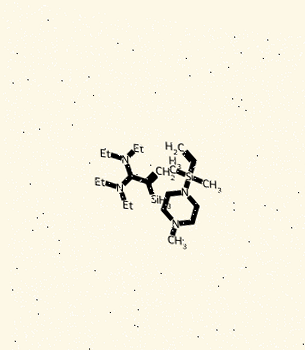 C=C([SiH3])C(N(CC)CC)N(CC)CC.C=C[Si](C)(C)N1CCN(C)CC1